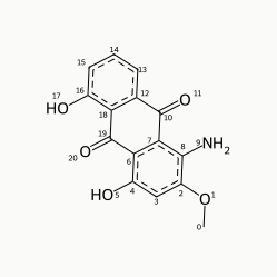 COc1cc(O)c2c(c1N)C(=O)c1cccc(O)c1C2=O